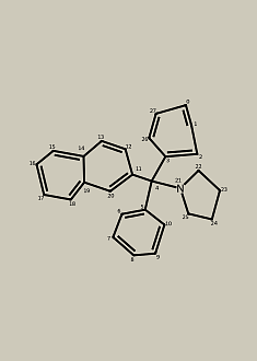 c1ccc(C(c2ccccc2)(c2ccc3ccccc3c2)N2CCCC2)cc1